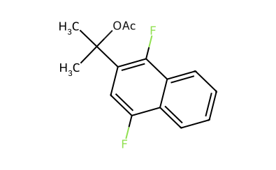 CC(=O)OC(C)(C)c1cc(F)c2ccccc2c1F